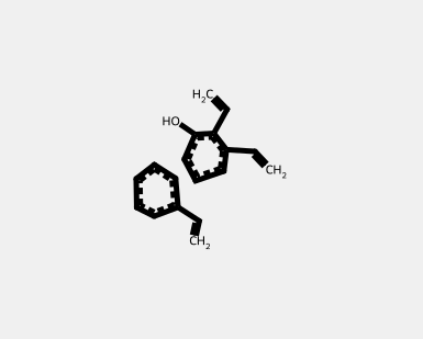 C=Cc1cccc(O)c1C=C.C=Cc1ccccc1